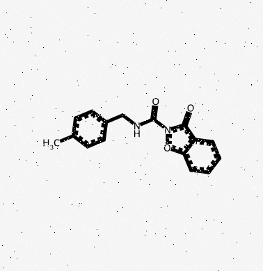 Cc1ccc(CNC(=O)n2oc3ccccc3c2=O)cc1